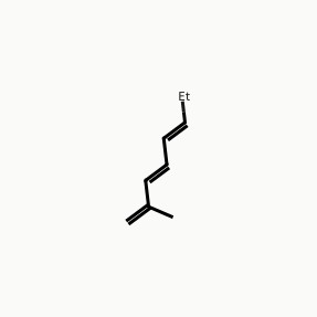 C=C(C)C=CC=CCC